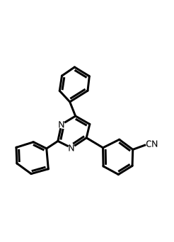 N#Cc1cccc(-c2cc(-c3ccccc3)nc(-c3ccccc3)n2)c1